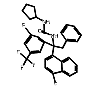 O=C(NC1CCCC1)NC(Cc1ccccc1)(c1cc(F)cc(C(F)(F)F)c1)c1ccc(F)c2ccccc12